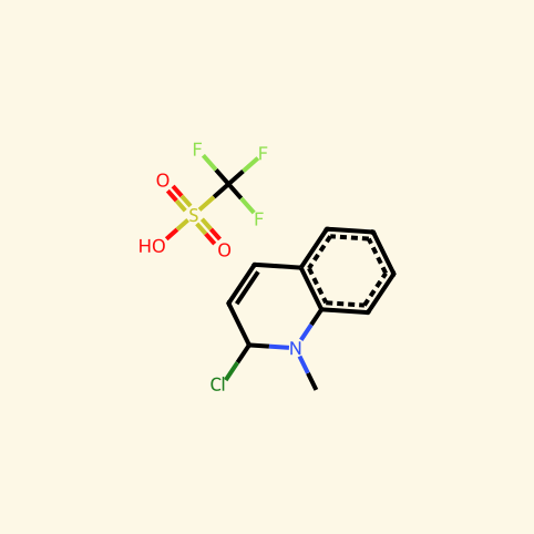 CN1c2ccccc2C=CC1Cl.O=S(=O)(O)C(F)(F)F